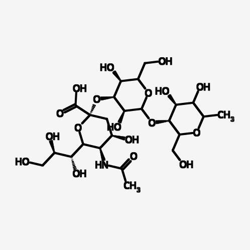 CC(=O)N[C@H]1C([C@H](O)[C@H](O)CO)O[C@@](O[C@@H]2[C@H](O)C(O[C@@H]3C(CO)OC(C)C(O)[C@@H]3O)OC(CO)[C@@H]2O)(C(=O)O)C[C@H]1O